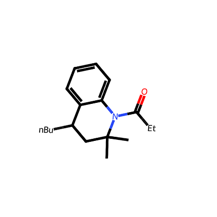 CCCCC1CC(C)(C)N(C(=O)CC)c2ccccc21